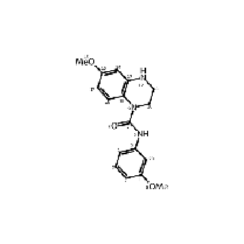 COc1cccc(NC(=O)N2CCNc3cc(OC)ccc32)c1